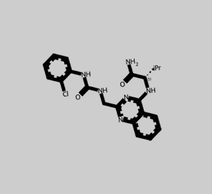 CC(C)[C@H](Nc1nc(CNC(=O)Nc2ccccc2Cl)nc2ccccc12)C(N)=O